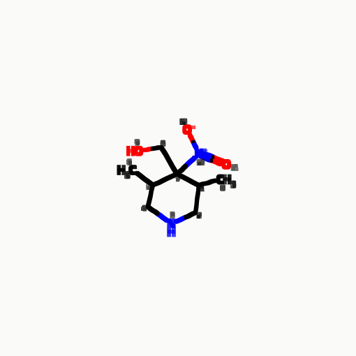 CC1CNCC(C)C1(CO)[N+](=O)[O-]